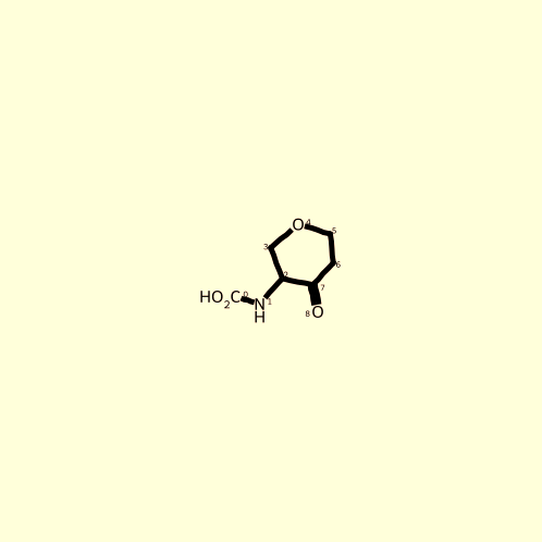 O=C(O)NC1COCCC1=O